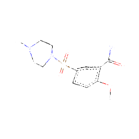 CCOc1ccc(S(=O)(=O)N2CCN(C(C)C)CC2)cc1C(N)=O